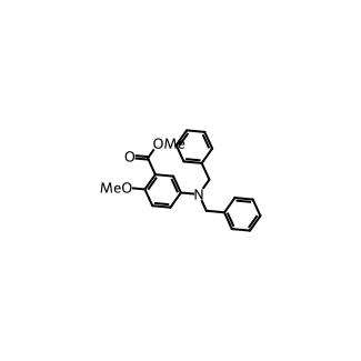 COC(=O)c1cc(N(Cc2ccccc2)Cc2ccccc2)ccc1OC